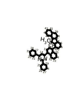 CC1(C)c2c(cccc2-c2ccc(-c3cc(-c4ccccc4)nc(-c4ccccc4)n3)c3ccccc23)-c2ccc3ccccc3c21